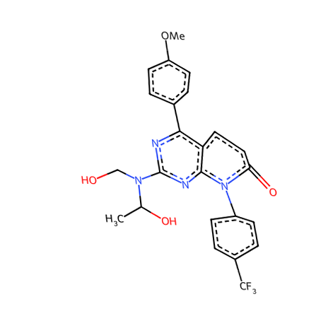 COc1ccc(-c2nc(N(CO)C(C)O)nc3c2ccc(=O)n3-c2ccc(C(F)(F)F)cc2)cc1